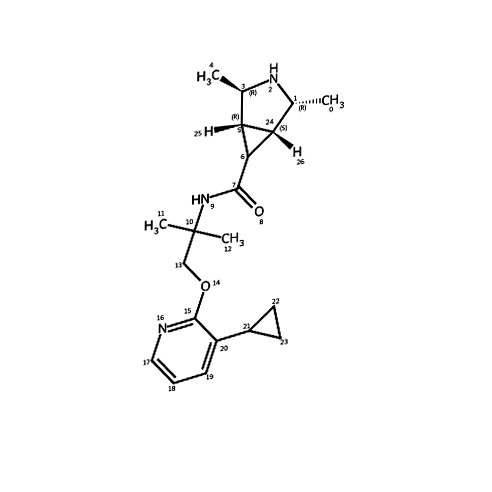 C[C@H]1N[C@H](C)[C@H]2C(C(=O)NC(C)(C)COc3ncccc3C3CC3)[C@H]21